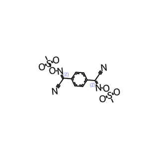 CS(=O)(=O)O/N=C(\C#N)c1ccc(/C(C#N)=N/OS(C)(=O)=O)cc1